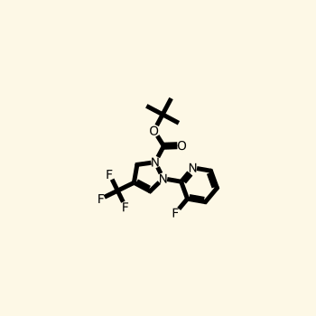 CC(C)(C)OC(=O)N1CC(C(F)(F)F)=CN1c1ncccc1F